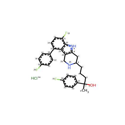 CC(O)(CCCC1Cc2[nH]c3c(F)ccc(-c4ccc(F)cc4)c3c2CN1)c1ccc(F)cc1.Cl